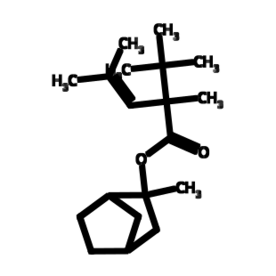 CC(C)=CC(C)(C(=O)OC1(C)CC2CCC1C2)C(C)(C)C